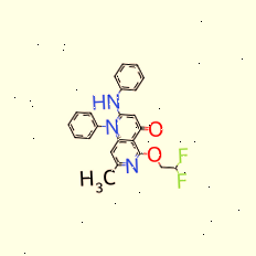 Cc1cc2c(c(OCC(F)F)n1)c(=O)cc(Nc1ccccc1)n2-c1ccccc1